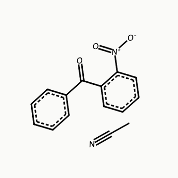 CC#N.O=C(c1ccccc1)c1ccccc1[N+](=O)[O-]